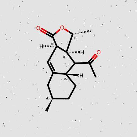 CC(=O)C1[C@@H]2[C@@H](C)OC(=O)[C@@H]2C=C2C[C@H](C)CC[C@H]21